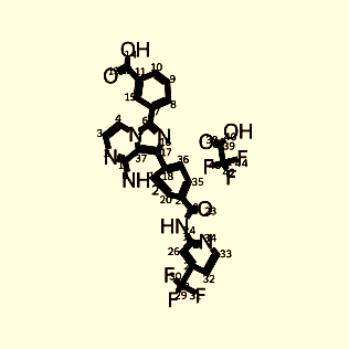 Nc1nccn2c(-c3cccc(C(=O)O)c3)nc(-c3ccc(C(=O)Nc4cc(C(F)(F)F)ccn4)cc3)c12.O=C(O)C(F)(F)F